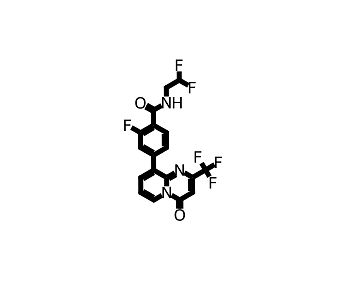 O=C(NCC(F)F)c1ccc(-c2cccn3c(=O)cc(C(F)(F)F)nc23)cc1F